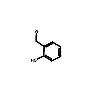 [O]Cc1ccccc1O